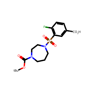 CC(C)(C)OC(=O)N1CCCN(S(=O)(=O)c2cc(C(=O)O)ccc2F)CC1